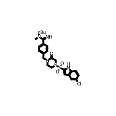 CCCCN(C)C(=N)c1ccc(CN2CCN(S(=O)(=O)c3cc4cc(Cl)ccc4[nH]3)CC2=O)cc1